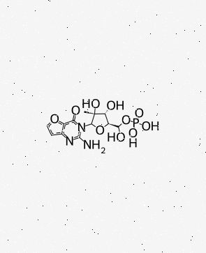 C[C@]1(O)C(n2c(N)nc3ccoc3c2=O)O[C@H](C(O)OP(=O)(O)O)[C@H]1O